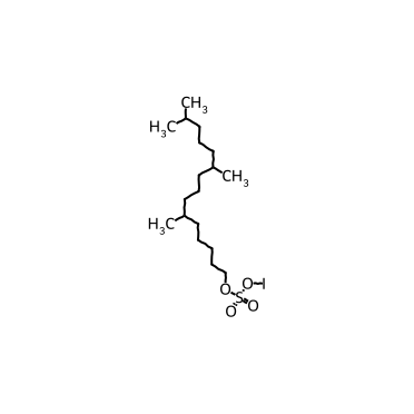 CC(C)CCCC(C)CCCC(C)CCCCCOS(=O)(=O)OI